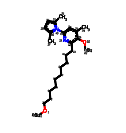 CCCCOCCCCCCCCCCc1nc(-n2c(C)ccc2C)cc(C)c1OCCCC